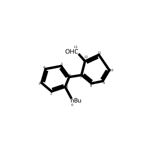 CCCCc1ccccc1-c1ccccc1C=O